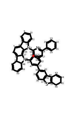 C1=CC2c3ccc4c5ccccc5n(-c5cccc(-c6ccccc6)n5)c4c3N(c3cccc(-c4ccc5sc6c(c5c4)C=CCC6)c3)C2C=C1